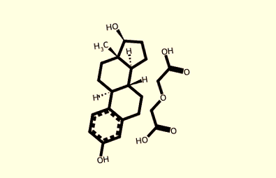 C[C@]12CC[C@@H]3c4ccc(O)cc4CC[C@H]3[C@@H]1CC[C@@H]2O.O=C(O)COCC(=O)O